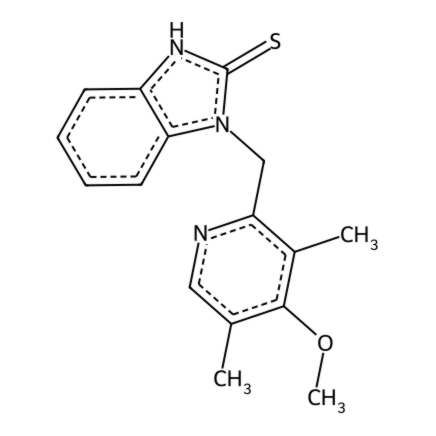 COc1c(C)cnc(Cn2c(=S)[nH]c3ccccc32)c1C